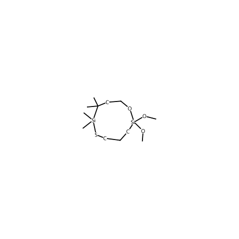 CO[Si]1(OC)CCCS[Si](C)(C)C(C)(C)CCO1